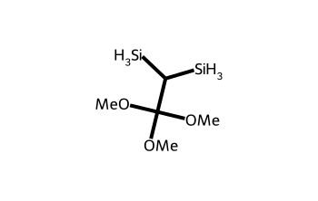 COC(OC)(OC)C([SiH3])[SiH3]